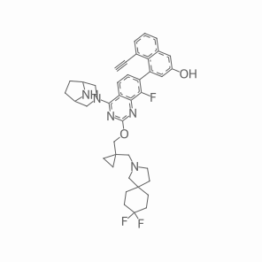 C#Cc1cccc2cc(O)cc(-c3ccc4c(N5CC6CCC(C5)N6)nc(OCC5(CN6CCC7(CCC(F)(F)CC7)C6)CC5)nc4c3F)c12